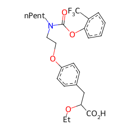 CCCCCN(CCOc1ccc(CC(OCC)C(=O)O)cc1)C(=O)Oc1ccccc1C(F)(F)F